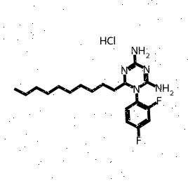 CCCCCCCCCCC1N=C(N)N=C(N)N1c1ccc(F)cc1F.Cl